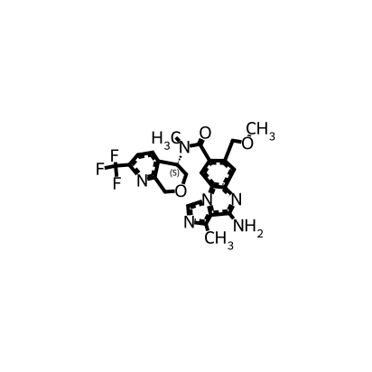 COCc1cc2nc(N)c3c(C)ncn3c2cc1C(=O)N(C)[C@@H]1COCc2nc(C(F)(F)F)ccc21